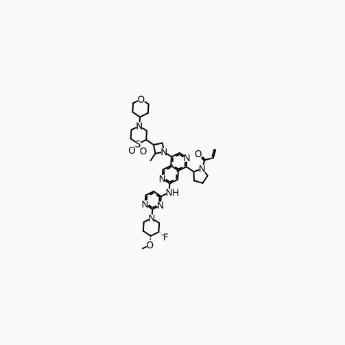 C=CC(=O)N1CCCC1c1ncc(N2CC(C3CN(C4CCOCC4)CCS3(=O)=O)C2C)c2cnc(Nc3ccnc(N4CC[C@@H](OC)[C@@H](F)C4)n3)cc12